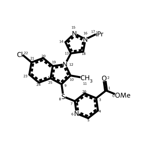 COC(=O)c1ccnc(Sc2c(C)n(-c3cnn(C(C)C)c3)c3cc(Cl)ccc23)c1